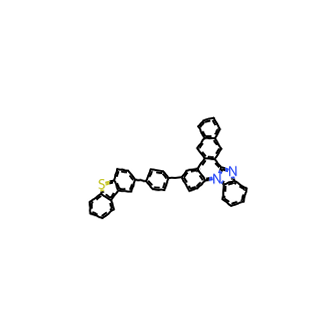 c1ccc2cc3c(cc2c1)c1cc(-c2ccc(-c4ccc5sc6ccccc6c5c4)cc2)ccc1n1c2ccccc2nc31